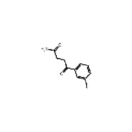 NC(=O)CCC(=O)c1cccc(Cl)c1